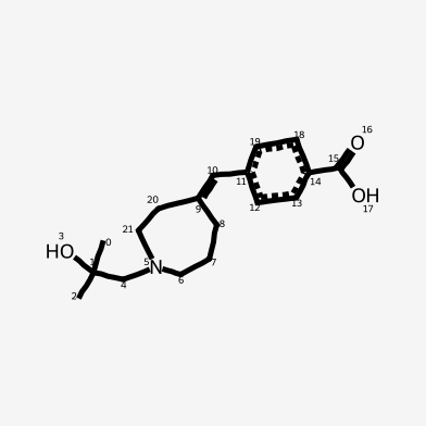 CC(C)(O)CN1CCCC(=Cc2ccc(C(=O)O)cc2)CC1